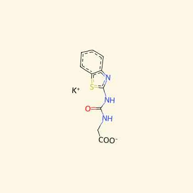 O=C([O-])CNC(=O)Nc1nc2ccccc2s1.[K+]